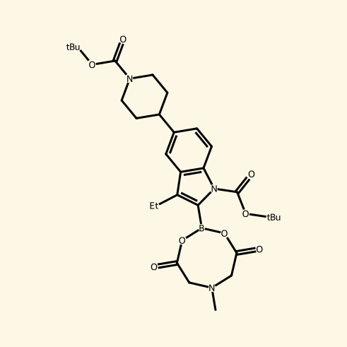 CCc1c(B2OC(=O)CN(C)CC(=O)O2)n(C(=O)OC(C)(C)C)c2ccc(C3CCN(C(=O)OC(C)(C)C)CC3)cc12